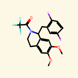 COc1cc2c(cc1OC)C(Cc1cc(I)ccc1I)N(C(=O)C(F)(F)F)CC2